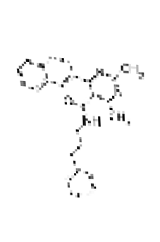 Cc1nc(C)c(C(=O)NCCCc2ccccc2)c(-c2ccc3ccccc3c2)n1